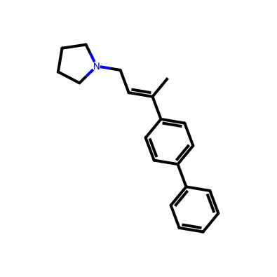 CC(=CCN1CCCC1)c1ccc(-c2ccccc2)cc1